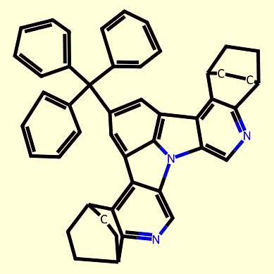 c1ccc(C(c2ccccc2)(c2ccccc2)c2cc3c4c5c(ncc4n4c6cnc7c(c6c(c2)c34)C2CCC7CC2)C2CCC5CC2)cc1